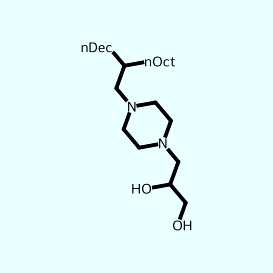 CCCCCCCCCCC(CCCCCCCC)CN1CCN(CC(O)CO)CC1